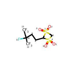 O=S1(=O)CS(=O)(=O)C1CCC(F)(C(F)(F)F)C(F)(F)F